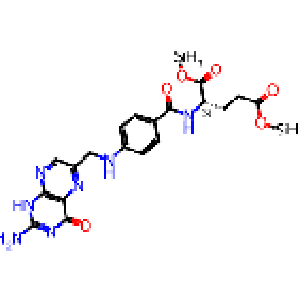 Nc1nc(=O)c2nc(CNc3ccc(C(=O)N[C@@H](CCC(=O)O[SiH3])C(=O)O[SiH3])cc3)cnc2[nH]1